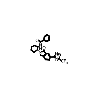 O=C(N[C@@H]1CCCC[C@H]1N1Cc2ccc(-c3noc(C(F)(F)F)n3)cc2C1=O)c1ccccc1